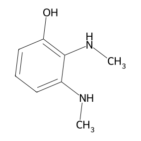 CNc1cccc(O)c1NC